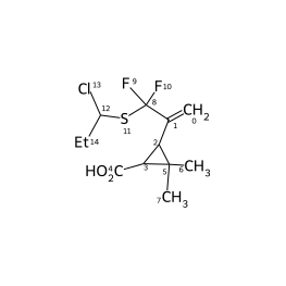 C=C(C1C(C(=O)O)C1(C)C)C(F)(F)SC(Cl)CC